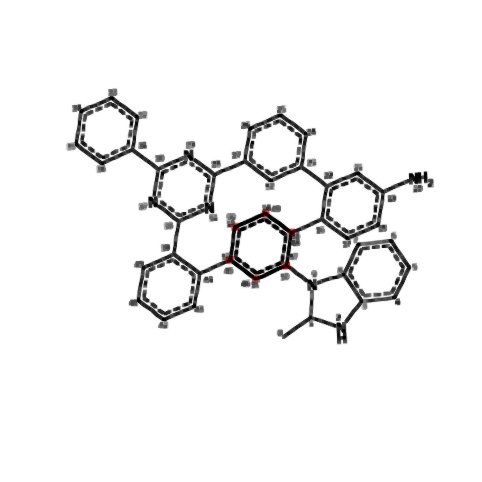 CC1Nc2ccccc2N1c1ccccc1-c1ccc(N)cc1-c1cccc(-c2nc(-c3ccccc3)nc(-c3ccccc3-c3ccccc3)n2)c1